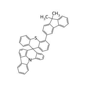 CC1(C)c2ccccc2-c2cc(-c3cccc4c3Sc3ccccc3C43c4ccccc4-n4c5ccccc5c5cccc3c54)ccc21